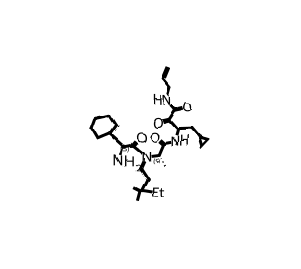 C=CCNC(=O)C(=O)C(CC1CC1)NC(=O)[C@H](C)N(CCC(C)(C)CC)C(=O)[C@@H](N)C1CCCCC1